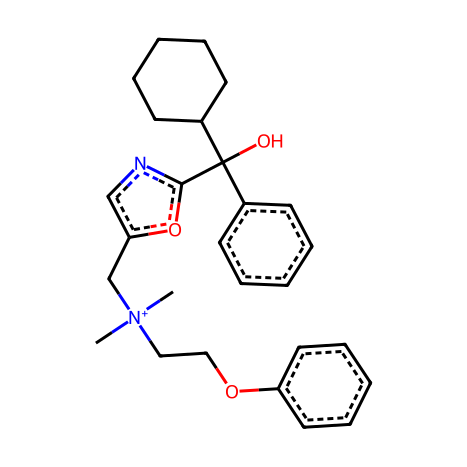 C[N+](C)(CCOc1ccccc1)Cc1cnc(C(O)(c2ccccc2)C2CCCCC2)o1